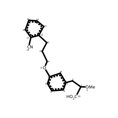 COC(Cc1cccc(OCCCc2ccccc2C#N)c1)C(=O)O